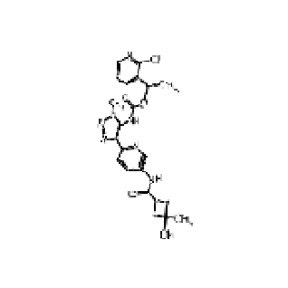 C[C@@H](OC(=O)Nc1c(-c2ccc(NC(=O)C3CC(C)(O)C3)cn2)nnn1C)c1cccnc1Cl